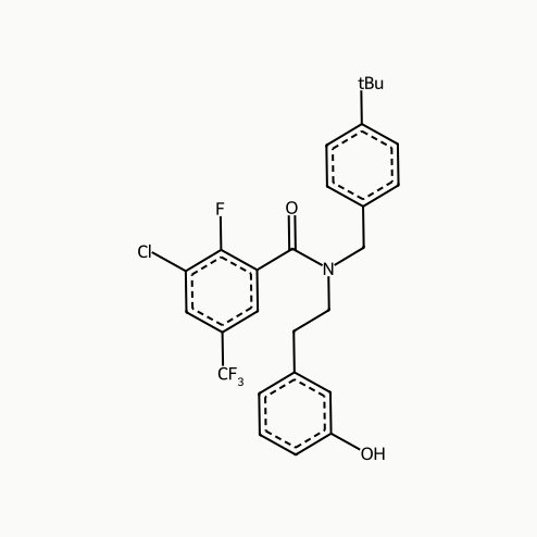 CC(C)(C)c1ccc(CN(CCc2cccc(O)c2)C(=O)c2cc(C(F)(F)F)cc(Cl)c2F)cc1